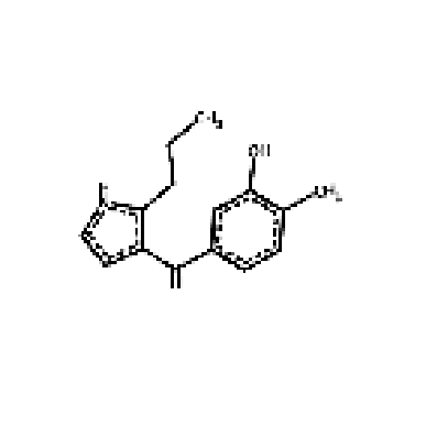 CCCc1[nH]ccc1Nc1ccc(C)c(O)c1